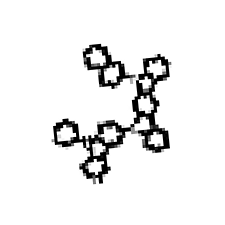 c1ccc(-n2c3ccncc3c3cc(-n4c5ccccc5c5cc6c7ccccc7n(-c7ccc8ccccc8c7)c6cc54)ccc32)cc1